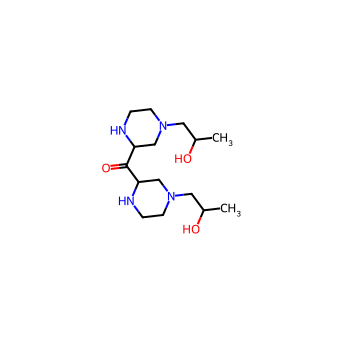 CC(O)CN1CCNC(C(=O)C2CN(CC(C)O)CCN2)C1